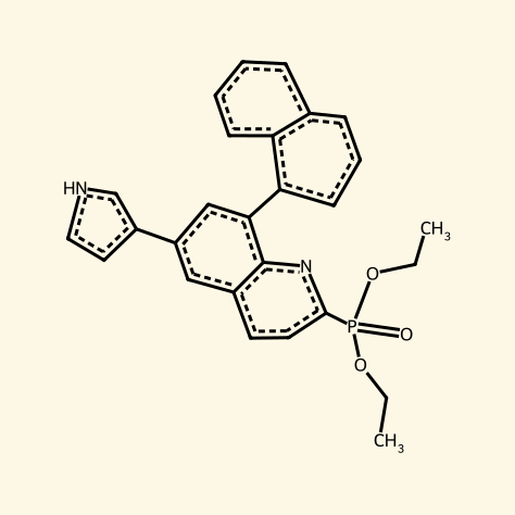 CCOP(=O)(OCC)c1ccc2cc(-c3cc[nH]c3)cc(-c3cccc4ccccc34)c2n1